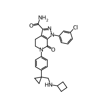 NC(=O)c1nn(-c2cccc(Cl)c2)c2c1CCN(c1ccc(C3(CNC4CCC4)CC3)cc1)C2=O